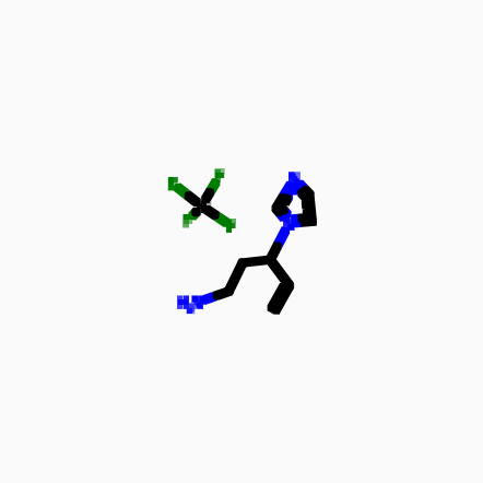 C=CC(CCN)n1ccnc1.F[B-](F)(F)F